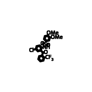 COc1ccc(S(=O)(=O)Nc2ccc(Cl)cc2C(=O)c2ccccc2C(F)(F)F)cc1OC